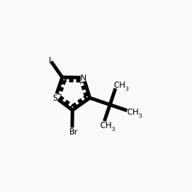 CC(C)(C)c1nc(I)sc1Br